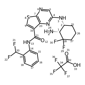 N[C@@H]1[C@H](Nc2cnc3scc(C(=O)Nc4ccccc4C(F)F)c3n2)CCCC1(F)F.O=C(O)C(F)(F)F